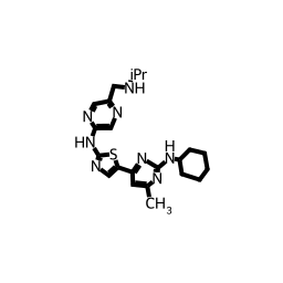 Cc1cc(-c2cnc(Nc3cnc(CNC(C)C)cn3)s2)nc(NC2CCCCC2)n1